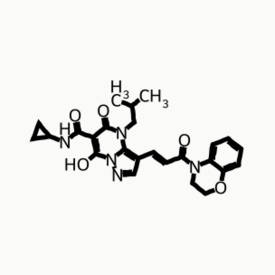 CC(C)Cn1c(=O)c(C(=O)NC2CC2)c(O)n2ncc(C=CC(=O)N3CCOc4ccccc43)c12